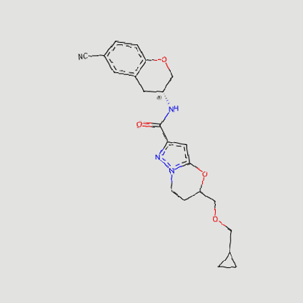 N#Cc1ccc2c(c1)C[C@@H](NC(=O)c1cc3n(n1)CCC(COCC1CC1)O3)CO2